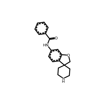 O=C(Nc1ccc2c(c1)OCC21CCNCC1)c1ccccc1